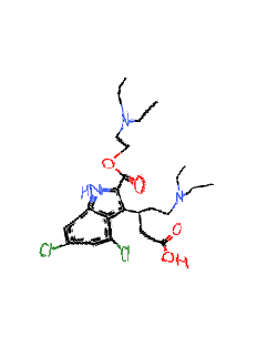 CCN(CC)CCOC(=O)c1[nH]c2cc(Cl)cc(Cl)c2c1C(CCN(CC)CC)CC(=O)O